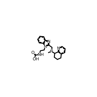 CN(Cc1nc2ccccc2n1CCNC(=O)O)C1CCCc2cccnc21